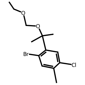 CCOCOC(C)(C)c1cc(Cl)c(C)cc1Br